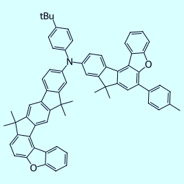 Cc1ccc(-c2cc3c(c4c2oc2ccccc24)-c2ccc(N(c4ccc(C(C)(C)C)cc4)c4ccc5c(c4)C(C)(C)c4cc6c(cc4-5)C(C)(C)c4ccc5oc7ccccc7c5c4-6)cc2C3(C)C)cc1